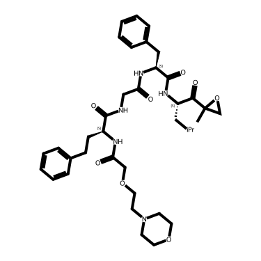 CC(C)C[C@H](NC(=O)[C@H](Cc1ccccc1)NC(=O)CNC(=O)[C@H](CCc1ccccc1)NC(=O)COCCN1CCOCC1)C(=O)C1(C)CO1